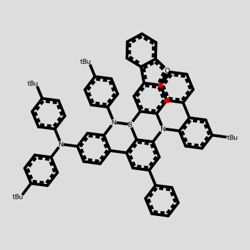 CC(C)(C)c1ccc(N2B3c4cc5c(cc4N(c4ccc(C(C)(C)C)cc4-c4ccccc4)c4cc(-c6ccccc6)cc(c43)-c3ccc(N(c4ccc(C(C)(C)C)cc4)c4ccc(C(C)(C)C)cc4)cc32)oc2ccccc25)cc1